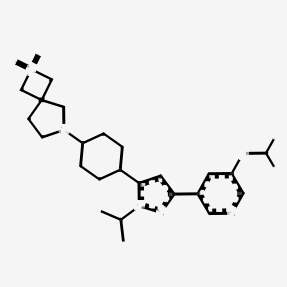 CC(C)n1nc(-c2cncc(OC(F)F)c2)cc1C1CCC(N2CCC3(C2)CS(=O)(=O)C3)CC1